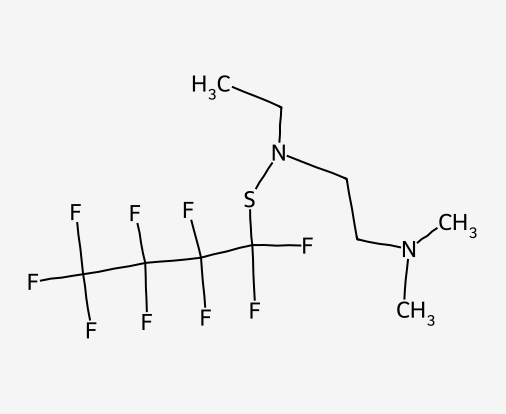 CCN(CCN(C)C)SC(F)(F)C(F)(F)C(F)(F)C(F)(F)F